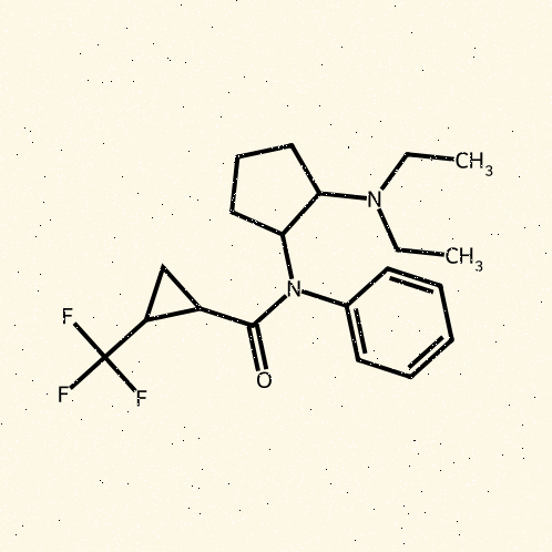 CCN(CC)C1CCCC1N(C(=O)C1CC1C(F)(F)F)c1ccccc1